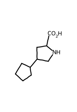 O=C(O)C1CC(C2CCCC2)CN1